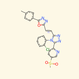 Cc1ccc(-c2nnc(/C=C/c3nnc(-c4ccc(S(C)(=O)=O)cn4)n3-c3ccccc3Cl)o2)cc1